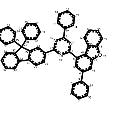 c1ccc(-c2cc(-c3nc(-c4ccccc4)nc(-c4ccc5c(c4)C(c4ccccc4)(c4ccccc4)c4ccccc4-5)n3)c3c(c2)oc2ccccc23)cc1